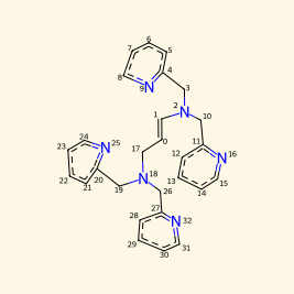 C(=CN(Cc1ccccn1)Cc1ccccn1)CN(Cc1ccccn1)Cc1ccccn1